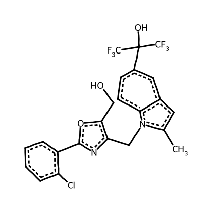 Cc1cc2cc(C(O)(C(F)(F)F)C(F)(F)F)ccc2n1Cc1nc(-c2ccccc2Cl)oc1CO